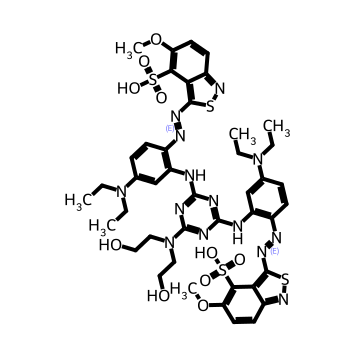 CCN(CC)c1ccc(/N=N/c2snc3ccc(OC)c(S(=O)(=O)O)c23)c(Nc2nc(Nc3cc(N(CC)CC)ccc3/N=N/c3snc4ccc(OC)c(S(=O)(=O)O)c34)nc(N(CCO)CCO)n2)c1